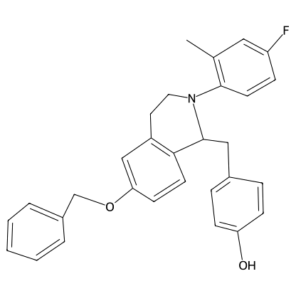 Cc1cc(F)ccc1N1CCc2cc(OCc3ccccc3)ccc2C1Cc1ccc(O)cc1